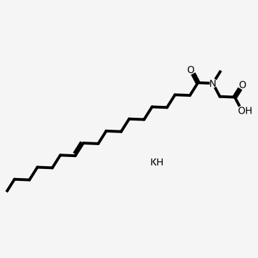 CCCCCCC=CCCCCCCCCCC(=O)N(C)CC(=O)O.[KH]